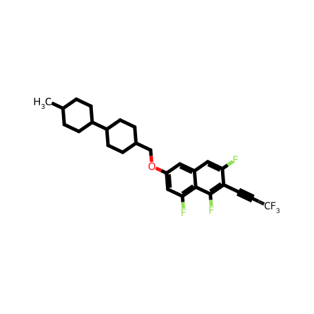 CC1CCC(C2CCC(COc3cc(F)c4c(F)c(C#CC(F)(F)F)c(F)cc4c3)CC2)CC1